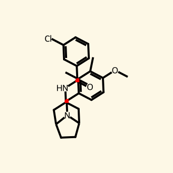 COc1ccc(CN2C3CCC2CC(NC(=O)c2cccc(Cl)c2)C3)c(C)c1C